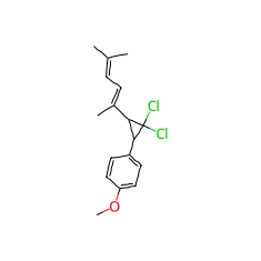 COc1ccc(C2C(/C(C)=C/C=C(C)C)C2(Cl)Cl)cc1